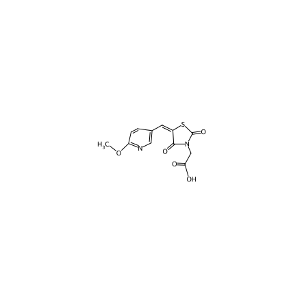 COc1ccc(C=C2SC(=O)N(CC(=O)O)C2=O)cn1